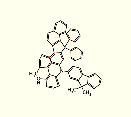 Cc1ccccc1-c1c(O)cccc1N(c1ccc2c(c1)C(C)(C)c1ccccc1-2)c1ccc2c(c1)C(c1ccccc1)(c1ccccc1)c1c-2ccc2ccccc12